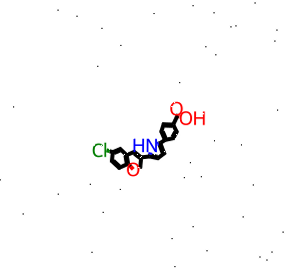 O=C(O)c1ccc(-c2ccc(C3=Cc4cc(Cl)ccc4OC3)[nH]2)cc1